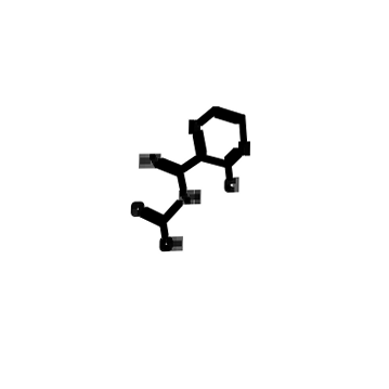 N=C(NC(=O)O)c1nccnc1Cl